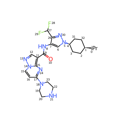 CC(C)[C@H]1CC[C@@H](n2cc(NC(=O)c3cnn4ccc(N5CCNCC5)nc34)c(C(F)F)n2)CC1